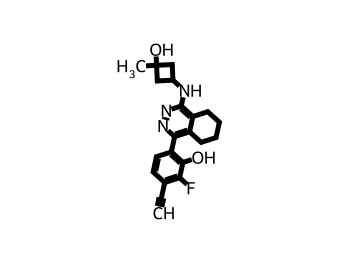 C#Cc1ccc(-c2nnc(NC3CC(C)(O)C3)c3c2CCCC3)c(O)c1F